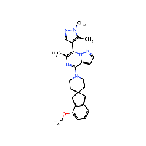 COc1cccc2c1CC1(CCN(c3nc(C)c(-c4cnn(C)c4C)n4nccc34)CC1)C2